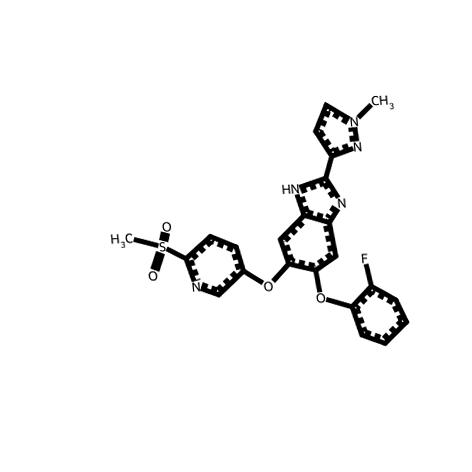 Cn1ccc(-c2nc3cc(Oc4ccccc4F)c(Oc4ccc(S(C)(=O)=O)nc4)cc3[nH]2)n1